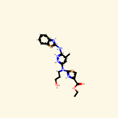 CCOC(=O)c1csc(N(CCCO)c2cc(C)c(Nc3nc4ccccc4s3)nn2)n1